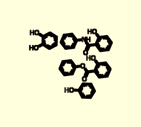 O=C(Nc1ccccc1)c1ccccc1O.O=C(Oc1ccccc1)c1ccccc1O.Oc1ccccc1.Oc1ccccc1O